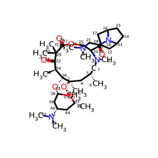 CO[C@]1(C)C[C@@H](C)CN(C)C(C2CC3CCC(C2)N3C(=O)CN(C)C)COC(=O)C(C)(C)C(=O)[C@H](C)[C@H]1O[C@H]1C[C@@H](N(C)C)C[C@@H](C)O1